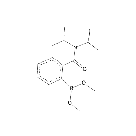 COB(OC)c1ccccc1C(=O)N(C(C)C)C(C)C